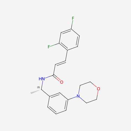 C[C@H](NC(=O)C=Cc1ccc(F)cc1F)c1cccc(N2CCOCC2)c1